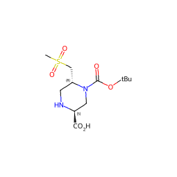 CC(C)(C)OC(=O)N1C[C@@H](C(=O)O)NC[C@@H]1CS(C)(=O)=O